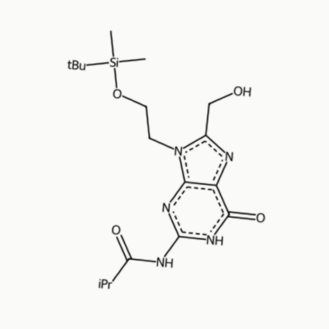 CC(C)C(=O)Nc1nc2c(nc(CO)n2CCO[Si](C)(C)C(C)(C)C)c(=O)[nH]1